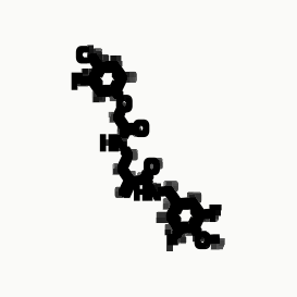 C=C(CCNC(=O)COc1ccc(Cl)c(F)c1)C(=O)NCc1cc(F)c(OC)c(F)c1